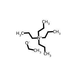 CCC[N+](CCC)(CCC)CCC.CC[O-]